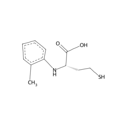 Cc1ccccc1N[C@@H](CCS)C(=O)O